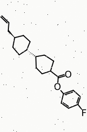 C=CC[C@H]1CC[C@H](C2CCC(C(=O)Oc3ccc(F)cc3)CC2)CC1